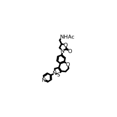 CC(=O)NCC1CN(c2ccc3c(c2)OCCC2=C3CN(c3ccncc3)S2)C(=O)O1